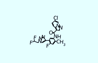 Cc1cc(F)c(-c2cn(CC(F)F)nn2)cc1NC(=O)c1cnn2cc(Cl)ccc12